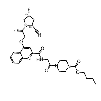 CCCCOC(=O)N1CCN(C(=O)CNC(=O)c2cc(OCC(=O)N3C[C@@H](F)C[C@H]3C#N)c3ccccc3n2)CC1